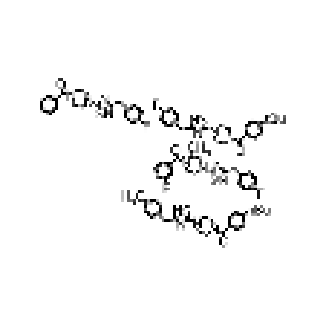 CC(C)(C)c1ccc(C(=O)N2CCN(c3nc(Cc4ccc(F)cc4)ns3)CC2)cc1.CC1CN(c2nc(Cc3ccc(F)cc3)ns2)CCN1C(=O)c1cccc(F)c1.CCCCc1ccc(C(=O)N2CCN(c3nc(Cc4ccc(C)cc4)ns3)CC2)cc1.O=C(c1ccccc1)N1CCN(c2nc(Cc3ccc(F)cc3)ns2)CC1